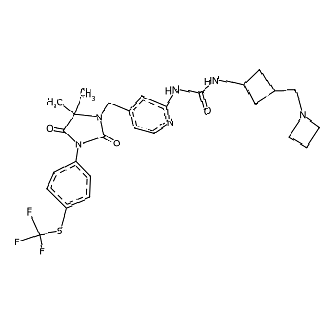 CC1(C)C(=O)N(c2ccc(SC(F)(F)F)cc2)C(=O)N1Cc1ccnc(NC(=O)NC2CC(CN3CCC3)C2)c1